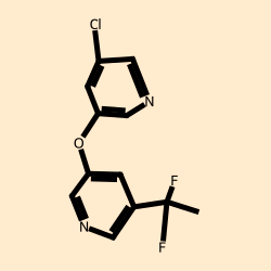 CC(F)(F)c1cncc(Oc2cncc(Cl)c2)c1